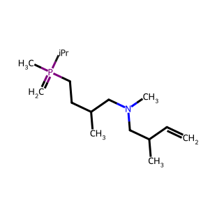 C=CC(C)CN(C)CC(C)CCP(=C)(C)C(C)C